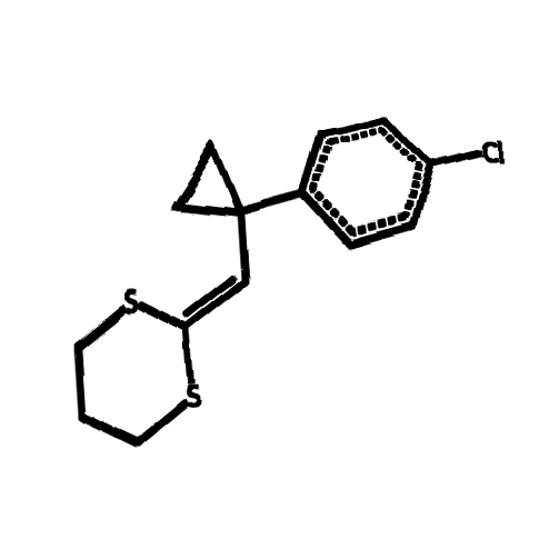 Clc1ccc(C2(C=C3SCCCS3)CC2)cc1